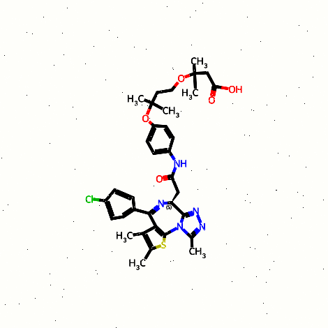 Cc1sc2c(c1C)C(c1ccc(Cl)cc1)=N[C@@H](CC(=O)Nc1ccc(OC(C)(C)CCOC(C)(C)CC(=O)O)cc1)c1nnc(C)n1-2